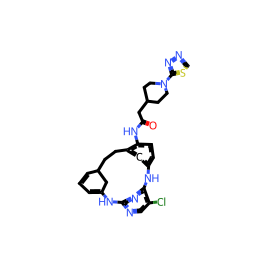 O=C(CC1CCN(c2nncs2)CC1)Nc1ccc2cc1CCC1C=CC=C(C1)Nc1ncc(Cl)c(n1)N2